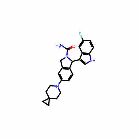 NC(=O)N1Cc2cc(N3CCC4(CC3)CC4)ccc2C1c1c[nH]c2ccc(F)cc12